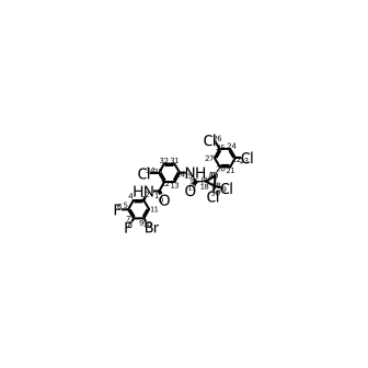 O=C(Nc1cc(F)c(F)c(Br)c1)c1cc(NC(=O)[C@H]2[C@H](c3cc(Cl)cc(Cl)c3)C2(Cl)Cl)ccc1Cl